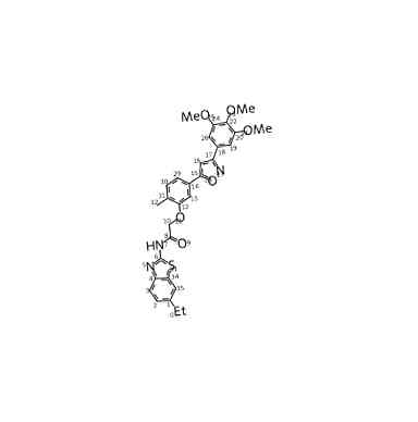 CCc1ccc2nc(NC(=O)COc3cc(-c4cc(-c5cc(OC)c(OC)c(OC)c5)no4)ccc3C)sc2c1